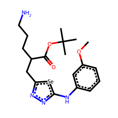 COc1cccc(Nc2nnc(CC(CCCN)C(=O)OC(C)(C)C)[se]2)c1